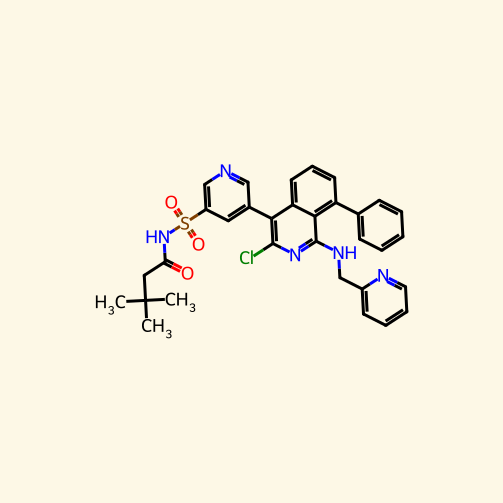 CC(C)(C)CC(=O)NS(=O)(=O)c1cncc(-c2c(Cl)nc(NCc3ccccn3)c3c(-c4ccccc4)cccc23)c1